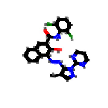 N#Cc1cnn(-c2ncccn2)c1/N=N/c1c(O)c(C(=O)Nc2c(F)cccc2F)cc2ccccc12